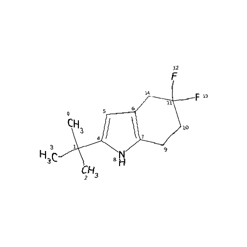 CC(C)(C)c1cc2c([nH]1)CCC(F)(F)C2